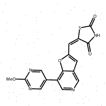 COc1ncc(-c2cncc3cc(/C=C4/SC(=O)NC4=O)oc23)cn1